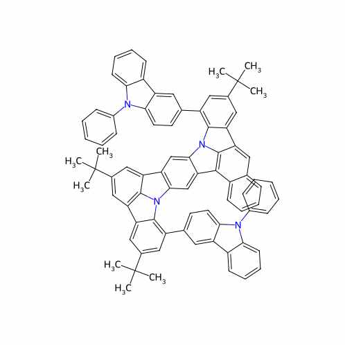 CC(C)(C)c1cc(-c2ccc3c(c2)c2ccccc2n3-c2ccccc2)c2c(c1)c1cc(C(C)(C)C)cc3c4cc5c(cc4n2c31)c1c2ccccc2cc2c3cc(C(C)(C)C)cc(-c4ccc6c(c4)c4ccccc4n6-c4ccccc4)c3n5c21